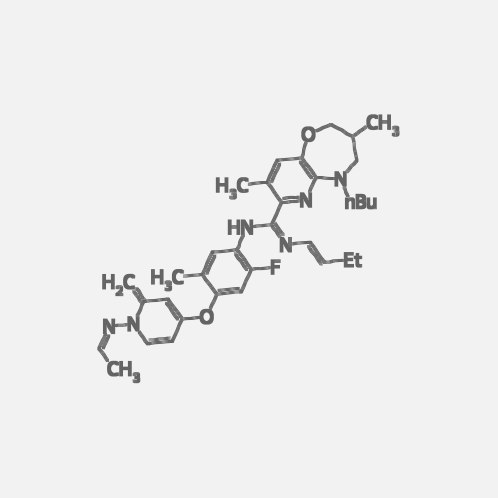 C=C1C=C(Oc2cc(F)c(N/C(=N/C=C/CC)c3nc4c(cc3C)OCC(C)CN4CCCC)cc2C)C=CN1/N=C\C